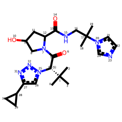 CC(C)(C)[C@@H](C(=O)N1CC(O)CC1C(=O)NCC(C)(C)n1ccnc1)n1cc(C2CC2)nn1